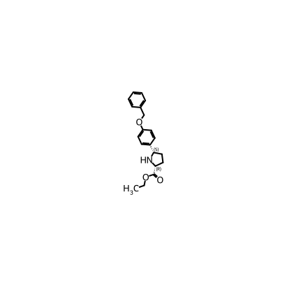 CCOC(=O)[C@H]1CC[C@@H](c2ccc(OCc3ccccc3)cc2)N1